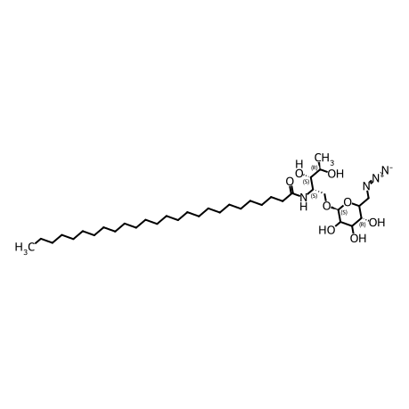 CCCCCCCCCCCCCCCCCCCCCCCCCC(=O)N[C@@H](CO[C@H]1OC(CN=[N+]=[N-])[C@H](O)C(O)C1O)[C@H](O)[C@@H](C)O